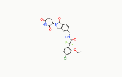 CCOc1cc(Cl)ccc1C(F)(F)C(=O)NCc1ccc2c(c1)CN(C1CCC(=O)NC1=O)C2=O